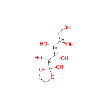 OC[C@@H](O)[C@@H](O)[C@H](O)[C@@H](O)C1(O)OCCO1